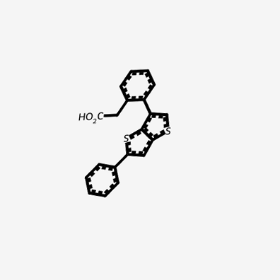 O=C(O)Cc1ccccc1-c1csc2cc(-c3ccccc3)sc12